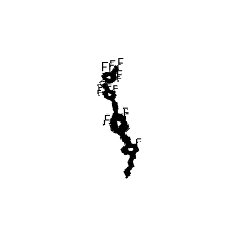 CCCCCC1C=CC(C#Cc2cc(F)c(C#Cc3cc(F)c(C(F)(F)Oc4cc(F)c(C(F)(F)F)c(F)c4)c(F)c3)c(F)c2)=C(F)C1